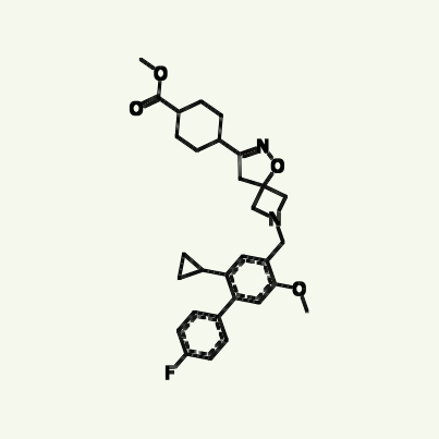 COC(=O)C1CCC(C2=NOC3(C2)CN(Cc2cc(C4CC4)c(-c4ccc(F)cc4)cc2OC)C3)CC1